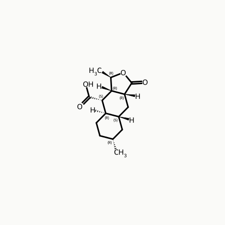 C[C@@H]1CC[C@@H]2[C@@H](C1)C[C@H]1C(=O)O[C@H](C)[C@H]1[C@H]2C(=O)O